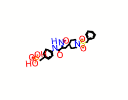 O=C(Nc1ccc(CP(=O)(O)O)cc1)C1=NOC2(CCN(S(=O)(=O)Cc3ccccc3)CC2)C1